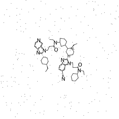 CC[C@H]1CC[C@H](c2nc3ccc(C#N)cc3n2CCC(=O)N(CC)C2CCCCC2)CC1C1CCCC(N(CC)C(=O)CCn2c3cnccc3nc2[C@H]2CC[C@H](CC)CC2)C1